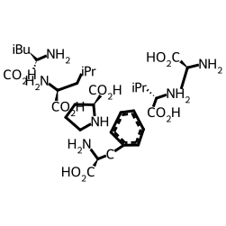 CC(C)C[C@H](N)C(=O)O.CC(C)[C@H](N)C(=O)O.CC[C@H](C)[C@H](N)C(=O)O.C[C@H](N)C(=O)O.N[C@@H](Cc1ccccc1)C(=O)O.O=C(O)[C@@H]1CCCN1